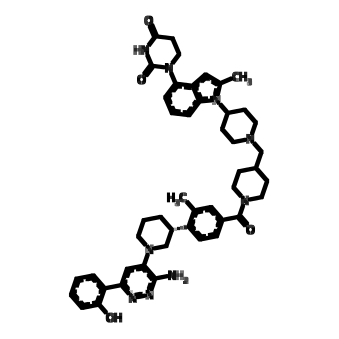 Cc1cc(C(=O)N2CCC(CN3CCC(n4c(C)cc5c(N6CCC(=O)NC6=O)cccc54)CC3)CC2)ccc1[C@H]1CCCN(c2cc(-c3ccccc3O)nnc2N)C1